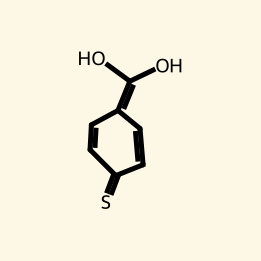 OC(O)=C1C=CC(=S)C=C1